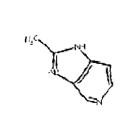 CC1=[N+]c2cnccc2N1